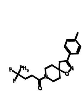 Cc1ccc(C2=NOC3(CCN(C(=O)CCC(F)(F)P)CC3)C2)cc1